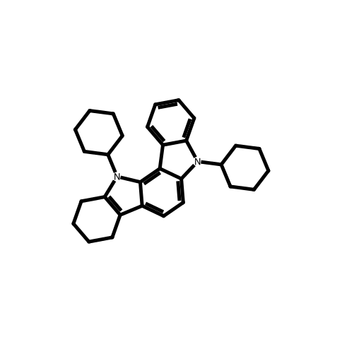 c1ccc2c(c1)c1c3c(ccc1n2C1CCCCC1)c1c(n3C2CCCCC2)CCCC1